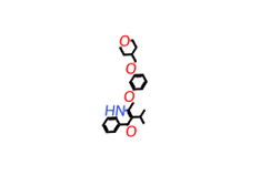 CC(C)c1c(COc2cccc(OCC3CCOCC3)c2)[nH]c2ccccc2c1=O